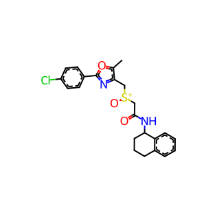 Cc1oc(-c2ccc(Cl)cc2)nc1C[S+]([O-])CC(=O)NC1CCCc2ccccc21